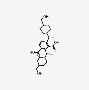 CC(c1ccc(C(=O)O)c(C(C)C2CCC(CO)CC2)c1C(=O)O)C1CCC(CO)CC1